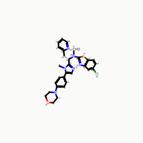 Cn1c(-c2ccc(N3CCOCC3)cc2)cnc1[C@H](Cc1ccccn1)N(C=O)c1nc2cc(Cl)ccc2s1